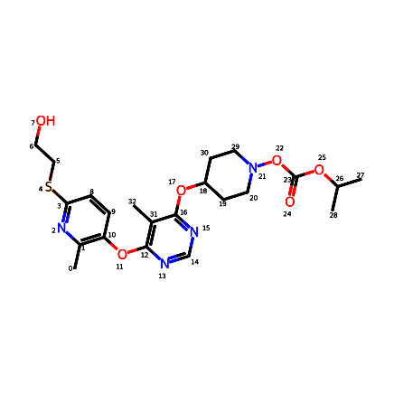 Cc1nc(SCCO)ccc1Oc1ncnc(OC2CCN(OC(=O)OC(C)C)CC2)c1C